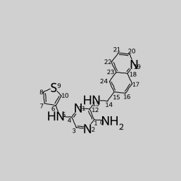 Nc1ncc(Nc2ccsc2)nc1NCc1ccc2ncccc2c1